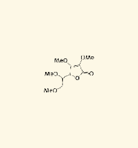 COCC(OC)C1OC(=O)C(OC)=C1OC